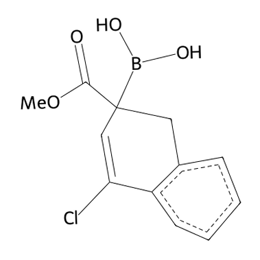 COC(=O)C1(B(O)O)C=C(Cl)c2ccccc2C1